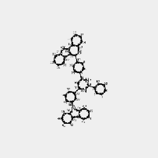 c1ccc(-c2nc(-c3ccc(-c4nc5ccccc5c5sc6ccccc6c45)cc3)cc(-c3cccc(-n4c5ccccc5c5ccccc54)c3)n2)cc1